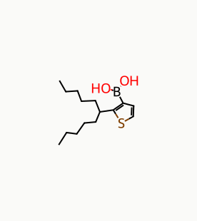 CCCCCC(CCCCC)c1sccc1B(O)O